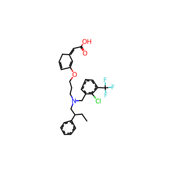 CCC(CN(CCCOC1=CC(=CC(=O)O)CC=C1)Cc1cccc(C(F)(F)F)c1Cl)c1ccccc1